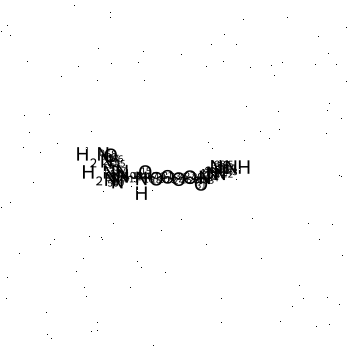 Nc1nc2cc(-c3nn(CCCCNC(=O)CCOCCOCCOCCOCCC(=O)N4CCN(c5ncc6c(n5)CCNC6)CC4)c4ncnc(N)c34)ccc2o1